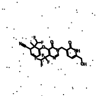 CC1(C(F)F)C(Oc2c(C(F)(F)C(F)F)ncn(Cc3ccc(CO)[nH]c3=O)c2=O)=CC=CC1C#N